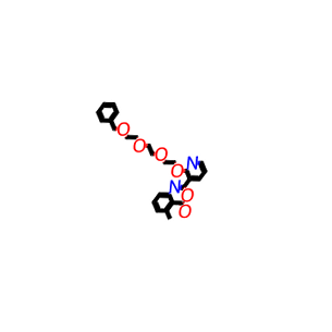 Cc1cccc2nc(-c3cccnc3OCCOCCOCCOCc3ccccc3)oc(=O)c12